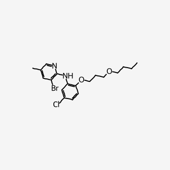 CCCCOCCCOc1ccc(Cl)cc1Nc1ncc(C)cc1Br